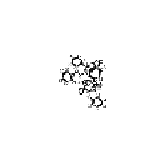 O=C(N[C@H](COC(=O)[C@@H](Cc1ccccc1)NS(=O)(=O)c1ccc(C(F)(F)F)cc1)Cc1ccccc1)c1ccccc1